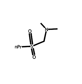 CCCS(=O)(=O)CN(C)C